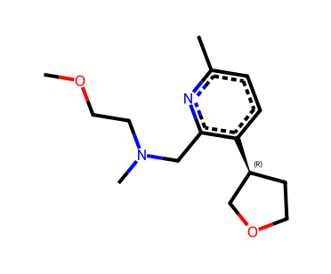 COCCN(C)Cc1nc(C)ccc1[C@H]1CCOC1